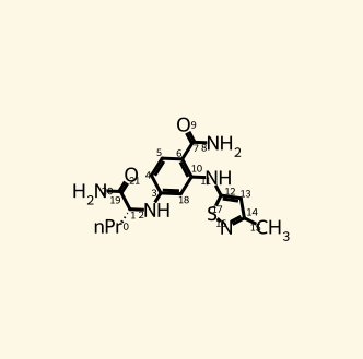 CCC[C@@H](Nc1ccc(C(N)=O)c(Nc2cc(C)ns2)c1)C(N)=O